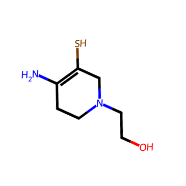 NC1=C(S)CN(CCO)CC1